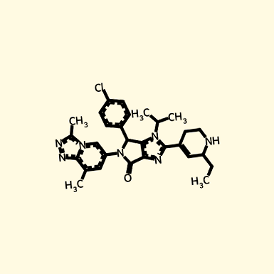 CCC1C=C(c2nc3c(n2C(C)C)C(c2ccc(Cl)cc2)N(c2cc(C)c4nnc(C)n4c2)C3=O)CCN1